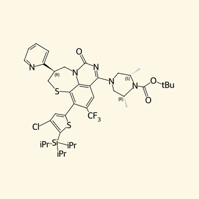 CC(C)[Si](c1sc(-c2c(C(F)(F)F)cc3c(N4C[C@@H](C)N(C(=O)OC(C)(C)C)[C@@H](C)C4)nc(=O)n4c3c2SC[C@@H](c2ccccn2)C4)cc1Cl)(C(C)C)C(C)C